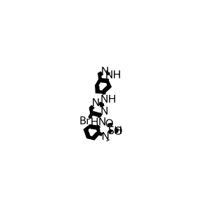 CN(c1ccccc1Nc1nc(Nc2ccc3cn[nH]c3c2)ncc1Br)[SH](=O)=O